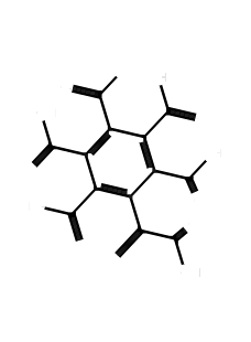 C=C(C(=O)O)c1c(C(=O)O)c(C(=O)O)c(C(=O)O)c(C(=O)O)c1C(=O)O